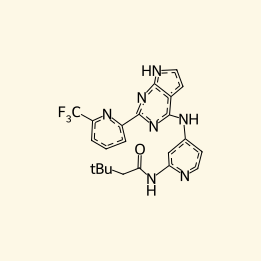 CC(C)(C)CC(=O)Nc1cc(Nc2nc(-c3cccc(C(F)(F)F)n3)nc3[nH]ccc23)ccn1